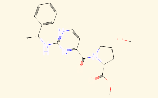 COC(=O)[C@@H]1C[C@@H](OC)CN1C(=O)c1ccnc(N[C@@H](C)c2ccccc2)n1